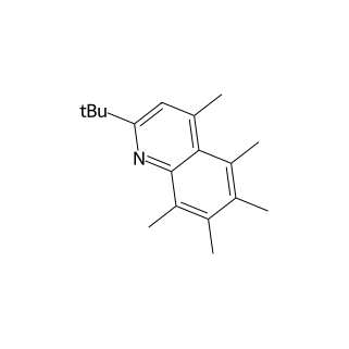 Cc1c(C)c(C)c2c(C)cc(C(C)(C)C)nc2c1C